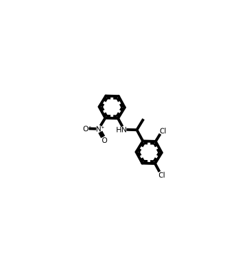 CC(Nc1ccccc1[N+](=O)[O-])c1ccc(Cl)cc1Cl